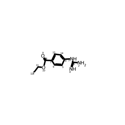 N=C(N)Nc1ccc(C(=O)OCI)cc1